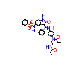 CCC(=O)NCCN(C(=O)CC)c1ccc(N/C(=C2\C(=O)Nc3ccc(NS(=O)(=O)c4ccccc4)cc32)c2ccccc2)cc1